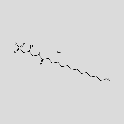 CCCCCCCCCCCCCC(=O)NCC(O)CS(=O)(=O)[O-].[Na+]